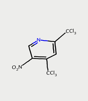 O=[N+]([O-])c1cnc(C(Cl)(Cl)Cl)cc1C(Cl)(Cl)Cl